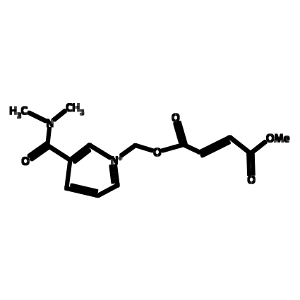 COC(=O)/C=C/C(=O)OC[n+]1cccc(C(=O)N(C)C)c1